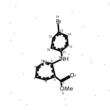 COC(=O)c1cccnc1Nc1ccc(Br)cc1